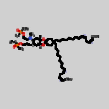 CCCCC/C=C\C/C=C\CCCCCCCCC1(CCCCCCCC/C=C\C/C=C\CCCCC)CCC2(CC1)O[C@H]1C[C@H](CCCOP(C)(=O)OC)[C@H](N(C)CCOP(C)(=O)OC)C[C@@H]1O2